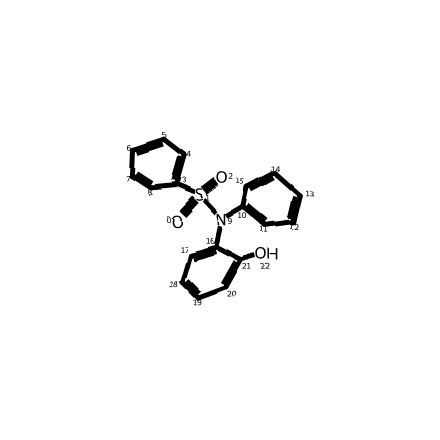 O=S(=O)(c1ccccc1)N(c1ccccc1)c1ccccc1O